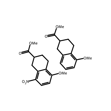 COC(=O)C1CCc2c(OC)ccc([N+](=O)[O-])c2C1.COC(=O)C1CCc2c(cccc2OC)C1